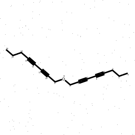 CCCC#CC#CCOCC#CC#CCCC